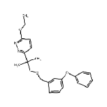 CCOc1ccc(C(C)(C)COCc2cccc(Oc3ccccc3)c2)nn1